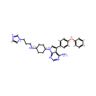 Nc1ncnc2c1c(-c1ccc(Oc3ccccc3)cc1)cn2C1CCC(NCCCn2ccnc2)CC1